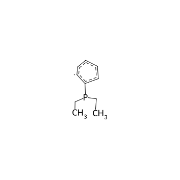 CCP(CC)c1[c]cccc1